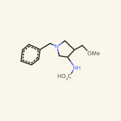 COCC1CN(Cc2ccccc2)CC1NC(=O)O